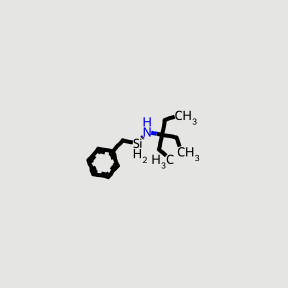 CCC(CC)(CC)N[SiH2]Cc1ccccc1